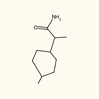 CC1CCC(C(C)C(N)=O)CC1